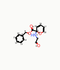 O=[C]CNC1(C(=O)OCc2ccccc2)C=CC=CO1